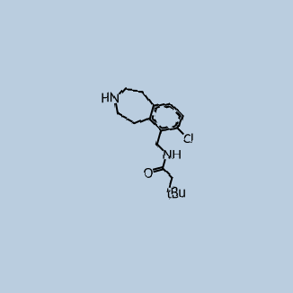 CC(C)(C)CC(=O)NCc1c(Cl)ccc2c1CCNCC2